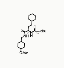 COC1CCC(CNC(=S)[C@@H](CCC2CCCCC2)NC(=O)OC(C)(C)C)CC1